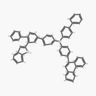 c1ccc(-c2ccc(N(c3ccc(-c4ccc(-c5ccccc5)c(-c5cc6ccccc6o5)c4)cc3)c3ccc(-c4cc5ccccc5c5ccccc45)cc3)cc2)cc1